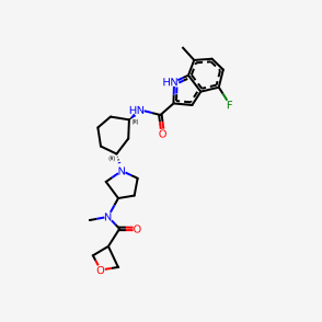 Cc1ccc(F)c2cc(C(=O)N[C@@H]3CCC[C@@H](N4CCC(N(C)C(=O)C5COC5)C4)C3)[nH]c12